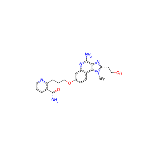 CCCn1c(CCO)nc2c(N)nc3cc(OCCCc4ncccc4C(N)=O)ccc3c21